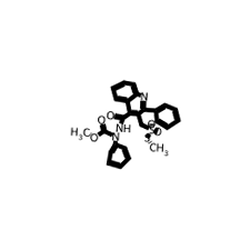 COC(=O)N(NC(=O)c1c(CS(=O)(=O)SC)c(-c2ccccc2)nc2ccccc12)c1ccccc1